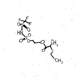 CCSC(C)C(=O)OCCOS(=O)(=O)NS(=O)(=O)C(F)(F)F